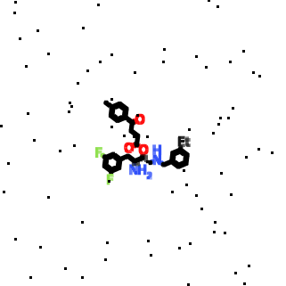 CCc1cccc(CNC[C@@H](OC(=O)CCC(=O)c2ccc(C)cc2)[C@@H](N)Cc2cc(F)cc(F)c2)c1